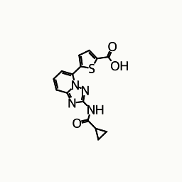 O=C(O)c1ccc(-c2cccc3nc(NC(=O)C4CC4)nn23)s1